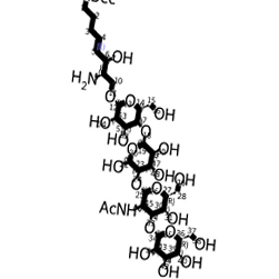 CCCCCCCCCCCCC/C=C/[C@@H](O)[C@@H](N)CO[C@@H]1O[C@H](CO)[C@@H](O[C@@H]2O[C@H](O)[C@H](O[C@@H]3O[C@H](CO)[C@H](O)[C@H](O[C@@H]4O[C@H](CO)[C@H](O)[C@H](O)[C@H]4O)[C@H]3NC(C)=O)[C@H](O)[C@H]2O)[C@H](O)[C@H]1O